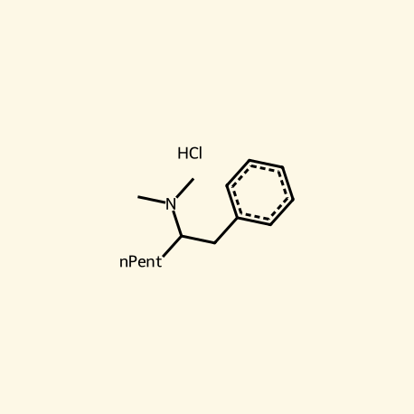 CCCCCC(Cc1ccccc1)N(C)C.Cl